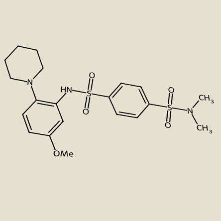 COc1ccc(N2CCCCC2)c(NS(=O)(=O)c2ccc(S(=O)(=O)N(C)C)cc2)c1